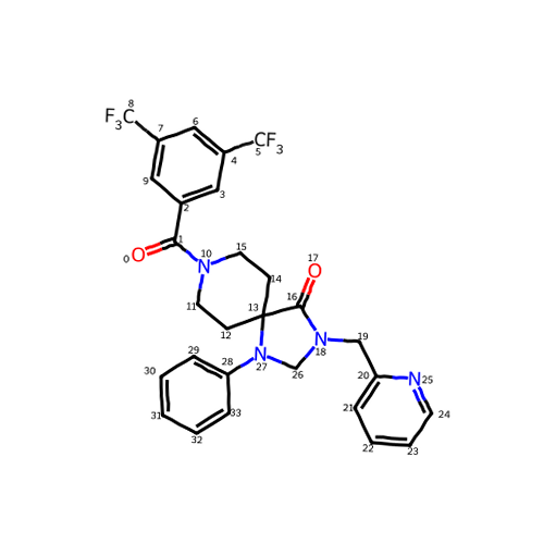 O=C(c1cc(C(F)(F)F)cc(C(F)(F)F)c1)N1CCC2(CC1)C(=O)N(Cc1ccccn1)CN2c1ccccc1